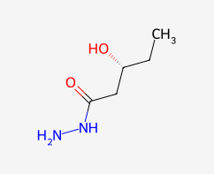 CC[C@@H](O)CC(=O)NN